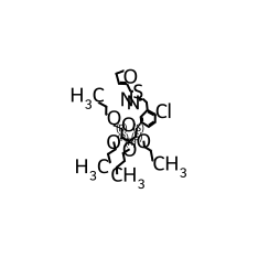 CCCCOC[C@H]1O[C@@H](c2ccc(Cl)c(Cc3nnc(C4=CCCO4)s3)c2)[C@H](OCCCC)[C@@H](OCCCC)[C@@H]1OCCCC